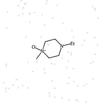 CCN1CC[N+](C)([O-])CC1